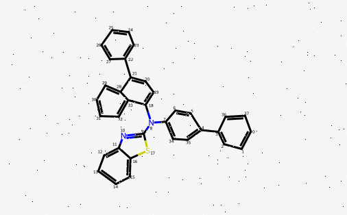 c1ccc(-c2ccc(N(c3nc4ccccc4s3)c3ccc(-c4ccccc4)c4ccccc34)cc2)cc1